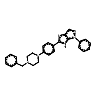 c1ccc(CN2CCN(c3ccc(-c4nc5cnn(-c6ccccc6)c5[nH]4)cc3)CC2)cc1